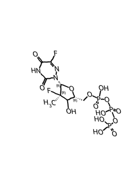 C[C@@]1(F)C(O)[C@@H](COP(=O)(O)OP(=O)(O)OP(=O)(O)O)O[C@H]1n1nc(F)c(=O)[nH]c1=O